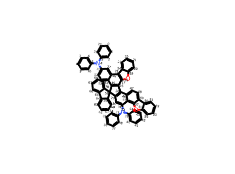 c1ccc(N(c2ccccc2)c2ccc3c4c(c5oc6ccccc6c5c3c2)-c2c(cc(N(c3ccccc3)c3ccccc3)c3c2ccc2c5ccccc5oc23)C42c3ccccc3-c3ccccc32)cc1